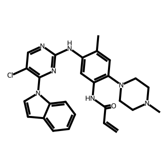 C=CC(=O)Nc1cc(Nc2ncc(Cl)c(-n3ccc4ccccc43)n2)c(C)cc1N1CCN(C)CC1